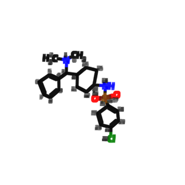 CN(C)C(c1ccccc1)C1CCC(NS(=O)(=O)c2ccc(Cl)cc2)CC1